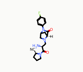 N#C[C@@H]1CCCN1C(=O)[C@@H](N)CN1CC2C[C@H]1C(=O)N2c1ccc(F)cc1